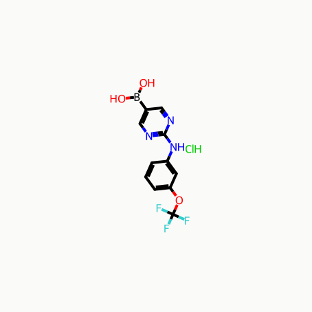 Cl.OB(O)c1cnc(Nc2cccc(OC(F)(F)F)c2)nc1